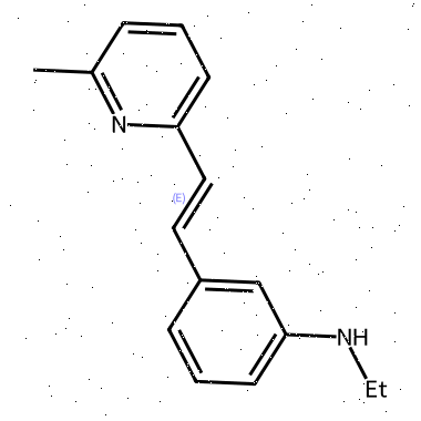 CCNc1cccc(/C=C/c2cccc(C)n2)c1